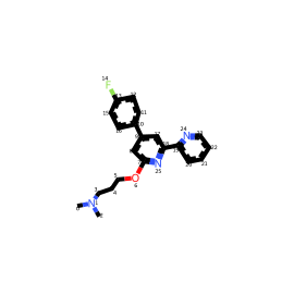 CN(C)CCCOc1cc(-c2ccc(F)cc2)cc(-c2ccccn2)n1